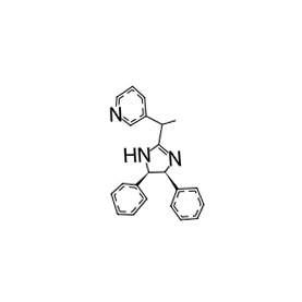 CC(C1=N[C@@H](c2ccccc2)[C@@H](c2ccccc2)N1)c1cccnc1